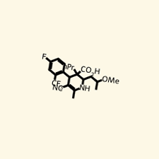 CCCC1(C(=O)O)C(CC(C)OC)NC(C)=C(C#N)C1c1ccc(F)cc1C(F)(F)F